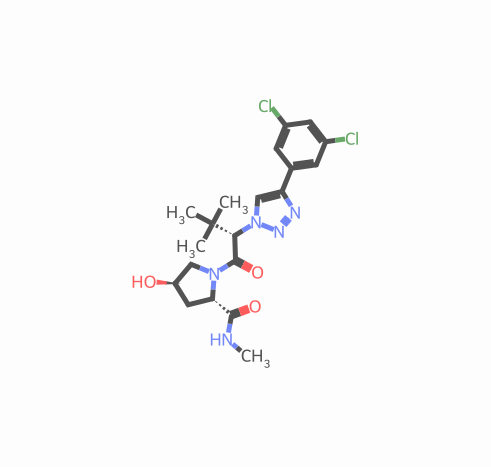 CNC(=O)[C@@H]1C[C@@H](O)CN1C(=O)[C@@H](n1cc(-c2cc(Cl)cc(Cl)c2)nn1)C(C)(C)C